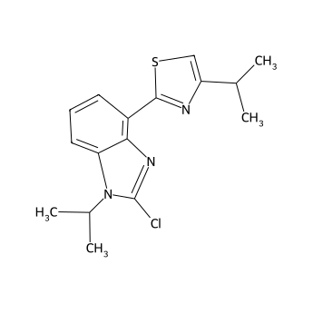 CC(C)c1csc(-c2cccc3c2nc(Cl)n3C(C)C)n1